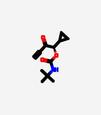 C#CC(=O)[C@@H](OC(=O)NC(C)(C)C)C1CC1